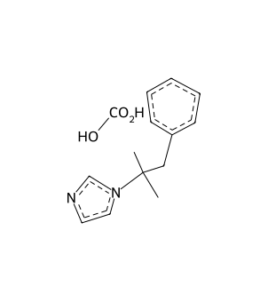 CC(C)(Cc1ccccc1)n1ccnc1.O=C(O)O